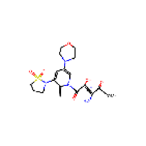 C=C1C(N2CCCS2(=O)=O)=CC(N2CCOCC2)=CN1C(=O)/C(O)=C(\N)C(=O)OC